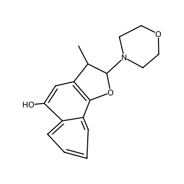 CC1c2cc(O)c3ccccc3c2OC1N1CCOCC1